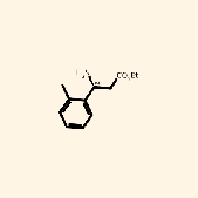 CCOC(=O)C[C@H](N)c1ccccc1C